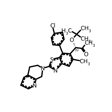 CC(=O)[C@@H](OC(C)(C)C)c1c(C)cc2nc(N3CCc4cccnc4C3)sc2c1-c1ccc(Cl)cc1